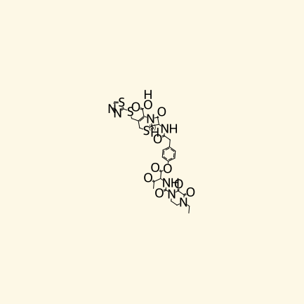 CCN1CCN(C(=O)NC(C(C)=O)C(=O)Oc2ccc(CC(=O)NC3C(=O)N4C(C(=O)O)=C(CSc5nncs5)CS[C@@H]34)cc2)C(=O)C1=O